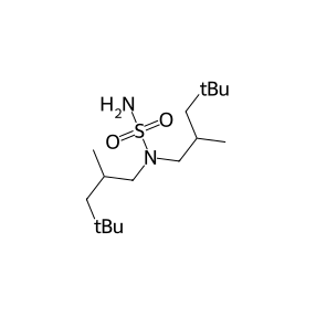 CC(CN(CC(C)CC(C)(C)C)S(N)(=O)=O)CC(C)(C)C